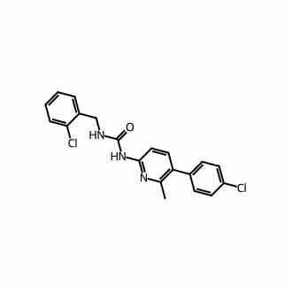 Cc1nc(NC(=O)NCc2ccccc2Cl)ccc1-c1ccc(Cl)cc1